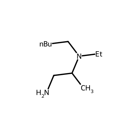 CCCCCN(CC)C(C)CN